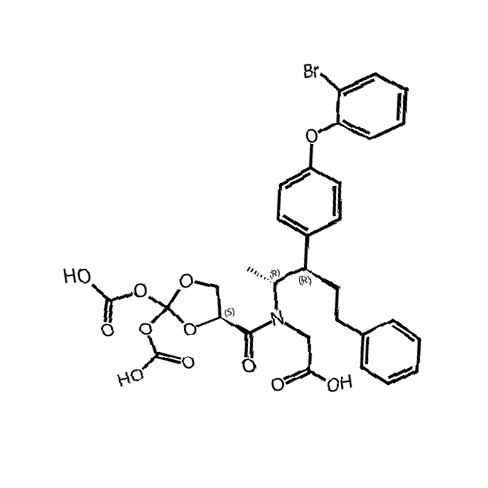 C[C@H]([C@H](CCc1ccccc1)c1ccc(Oc2ccccc2Br)cc1)N(CC(=O)O)C(=O)[C@@H]1COC(OC(=O)O)(OC(=O)O)O1